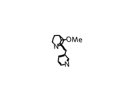 COC1C(=Cc2cccnc2)N2CCC1CC2